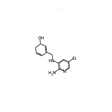 CCc1cnc(N)c(NCC2=CC(O)CC=C2)c1